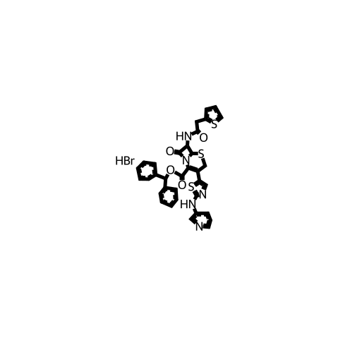 Br.O=C(Cc1cccs1)NC1C(=O)N2C(C(=O)OC(c3ccccc3)c3ccccc3)=C(c3cnc(Nc4cccnc4)s3)CSC12